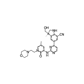 Cc1cc(Nc2nccc(-c3cc(C#N)c4c(c3)[C@@](C)(CO)CN4)n2)c(=O)n(CCN2CCOCC2)c1